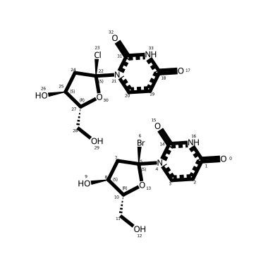 O=c1ccn([C@@]2(Br)C[C@H](O)[C@@H](CO)O2)c(=O)[nH]1.O=c1ccn([C@@]2(Cl)C[C@H](O)[C@@H](CO)O2)c(=O)[nH]1